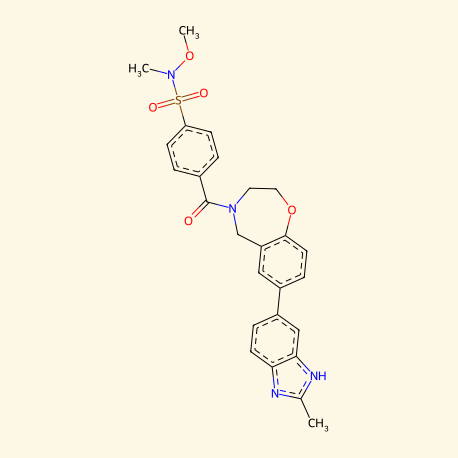 CON(C)S(=O)(=O)c1ccc(C(=O)N2CCOc3ccc(-c4ccc5nc(C)[nH]c5c4)cc3C2)cc1